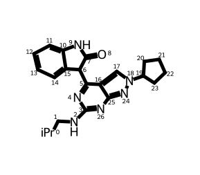 CC(C)CNc1nc(C2C(=O)Nc3ccccc32)c2cn(C3CCCC3)nc2n1